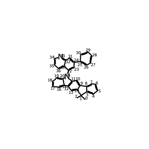 CC1(C)c2ccccc2-c2cc3c(cc21)c1ccccc1n3-c1cc(-c2ccccc2)cc2ncccc12